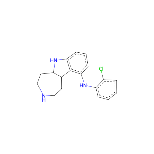 Clc1ccccc1Nc1cccc2c1C1CCNCCC1N2